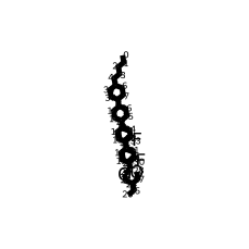 CCCCCC1CCC(C2CCC(c3ccc(-c4ccc(C5OCC(CC)CO5)c(F)c4)c(F)c3)CC2)CC1